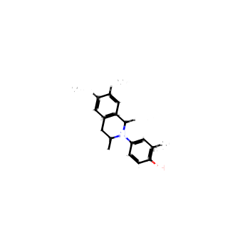 CCCCCCCC1c2cc(OC)c(OC)cc2CC(C)N1c1ccc(O)c([N+](=O)[O-])c1